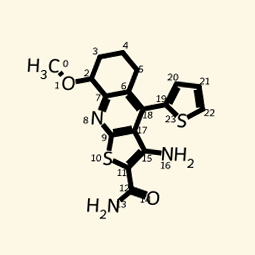 COC1CCCc2c1nc1sc(C(N)=O)c(N)c1c2-c1cccs1